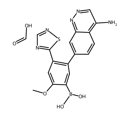 COc1cc(-c2ncns2)c(-c2ccc3c(N)cnnc3c2)cc1B(O)O.O=CO